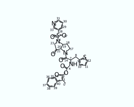 Cc1c(OC(=O)NC(Cc2cccs2)C(=O)N2CCC3C2C(=O)CN3S(=O)(=O)c2cccnc2)oc2ccccc12